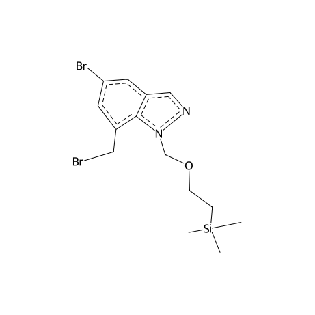 C[Si](C)(C)CCOCn1ncc2cc(Br)cc(CBr)c21